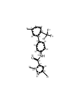 Cc1ccc(C(F)(F)F)c(-c2ccc(NC(=O)c3cc(C)nn3C)cc2)c1